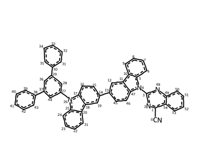 N#Cc1nc(-n2c3ccccc3c3cc(-c4ccc5c(c4)c4ccccc4n5-c4cc(-c5ccccc5)cc(-c5ccccc5)c4)ccc32)nc2ccccc12